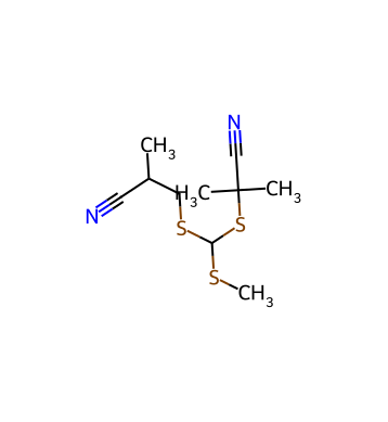 CSC(SCC(C)C#N)SC(C)(C)C#N